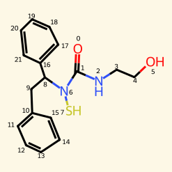 O=C(NCCO)N(S)C(Cc1ccccc1)c1ccccc1